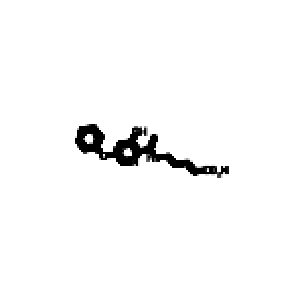 O=C(O)CCCCNC(=O)c1ncc(Oc2ccccc2)cc1O